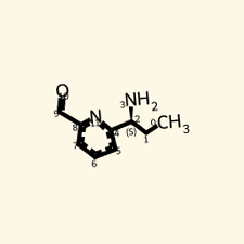 CC[C@H](N)c1cccc(C=O)n1